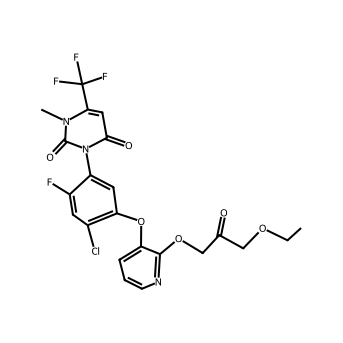 CCOCC(=O)COc1ncccc1Oc1cc(-n2c(=O)cc(C(F)(F)F)n(C)c2=O)c(F)cc1Cl